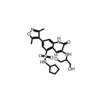 Cc1noc(C)c1-c1cc(S(=O)(=O)NC2CCCC2)c2cc(NC(CO)CO)c(=O)[nH]c2c1